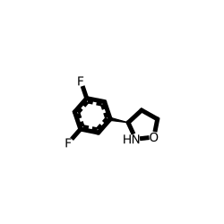 Fc1cc(F)cc([C@H]2CCON2)c1